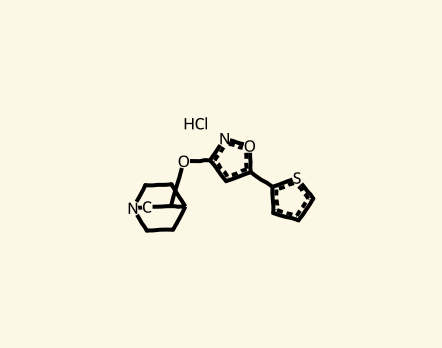 Cl.c1csc(-c2cc(OC3CN4CCC3CC4)no2)c1